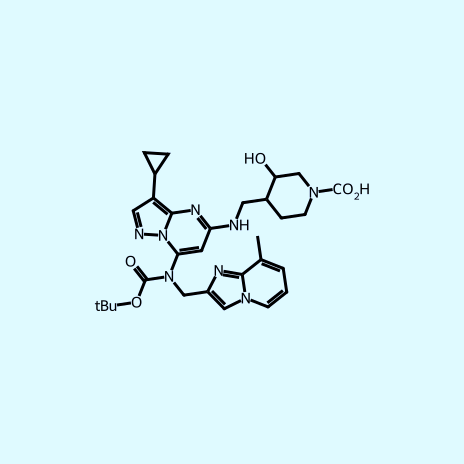 Cc1cccn2cc(CN(C(=O)OC(C)(C)C)c3cc(NCC4CCN(C(=O)O)CC4O)nc4c(C5CC5)cnn34)nc12